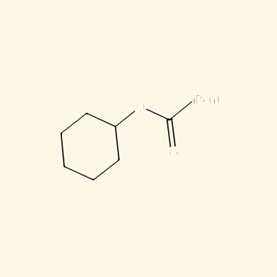 CCCC(C)C(=O)OC1CCCCC1